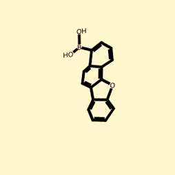 OB(O)c1cccc2c1ccc1c3ccccc3oc21